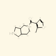 Cc1occc1C(=O)N1CCC2CNCC2C1